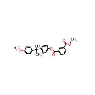 COC(=O)c1cccc(C(=O)Oc2ccc(C(C)(C)c3ccc(OC)cc3)cc2)c1